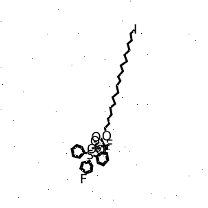 O=C(OCCCCCCCCCCCCCCCCCCCI)C(F)(F)S(=O)(=O)OS(c1ccccc1)(c1ccccc1)c1ccc(F)cc1